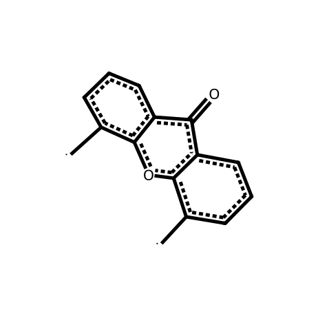 [CH2]c1cccc2c(=O)c3cccc([CH2])c3oc12